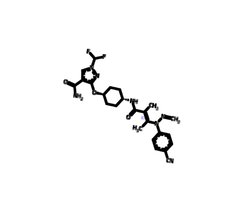 C=NN(/C(C)=C(\C)C(=O)N[C@H]1CC[C@H](Oc2nn(C(F)F)cc2C(N)=O)CC1)c1ccc(C#N)cc1